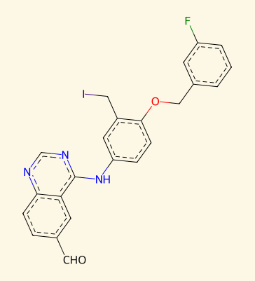 O=Cc1ccc2ncnc(Nc3ccc(OCc4cccc(F)c4)c(CI)c3)c2c1